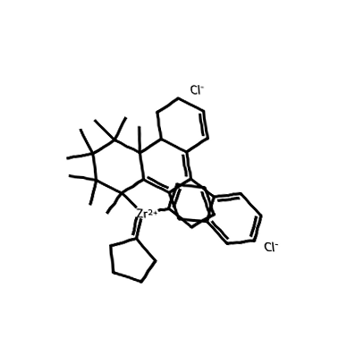 CC12C(=C3Cc4ccccc4C3=C3C=CCCC31)[C](C)([Zr+2]([C]1=CC=CC1)=[C]1CCCC1)C(C)(C)C(C)(C)C2(C)C.[Cl-].[Cl-]